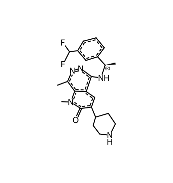 Cc1nnc(N[C@H](C)c2cccc(C(F)F)c2)c2cc(C3CCNCC3)c(=O)n(C)c12